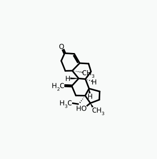 C=C1C[C@@]2(CC)[C@@H](CC[C@]2(C)O)[C@@H]2CCC3=CC(=O)CC[C@]3(C)[C@@H]12